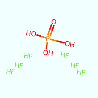 F.F.F.F.F.F.O=P(O)(O)O